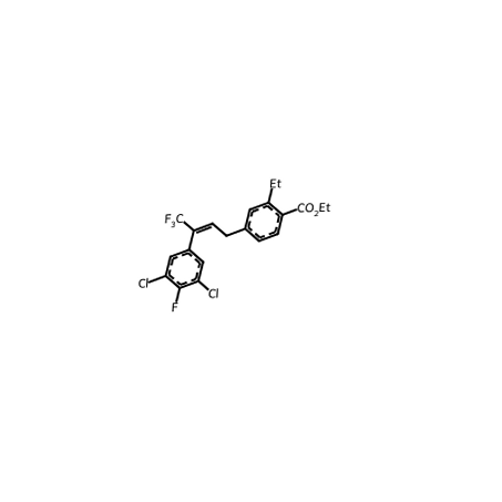 CCOC(=O)c1ccc(CC=C(c2cc(Cl)c(F)c(Cl)c2)C(F)(F)F)cc1CC